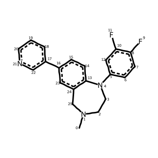 CN1CCN(c2ccc(F)c(F)c2)c2ccc(-c3cccnc3)cc2C1